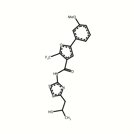 COc1cccc(-c2cc(C(=O)Nc3nc(CC(C)O)ns3)c(C(F)(F)F)o2)c1